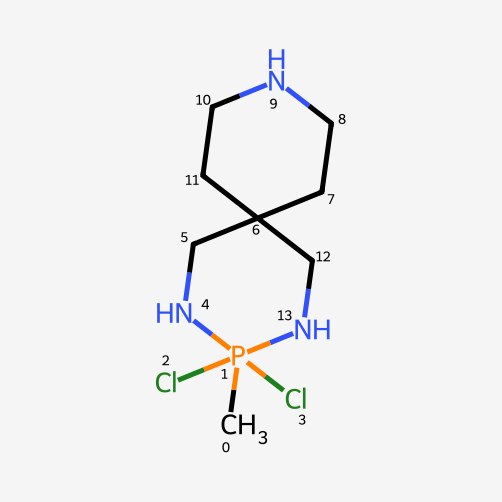 CP1(Cl)(Cl)NCC2(CCNCC2)CN1